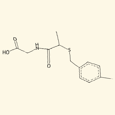 Cc1ccc(CSC(C)C(=O)NCC(=O)O)cc1